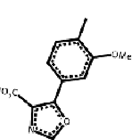 COc1cc(-c2ocnc2C(=O)O)ccc1C